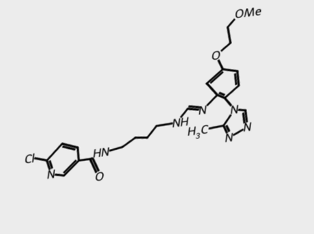 COCCOc1ccc(-n2cnnc2C)c(/N=C/NCCCCNC(=O)c2ccc(Cl)nc2)c1